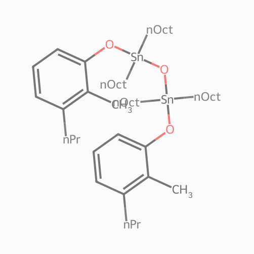 CCCCCCC[CH2][Sn]([CH2]CCCCCCC)([O]c1cccc(CCC)c1C)[O][Sn]([CH2]CCCCCCC)([CH2]CCCCCCC)[O]c1cccc(CCC)c1C